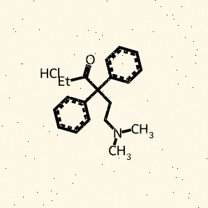 CCC(=O)C(CCN(C)C)(c1ccccc1)c1ccccc1.Cl